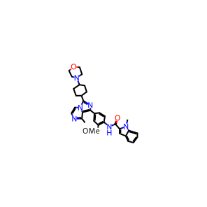 COc1cc(-c2nc(C3CCC(N4CCOCC4)CC3)n3ccnc(C)c23)ccc1NC(=O)c1cc2ccccc2n1C